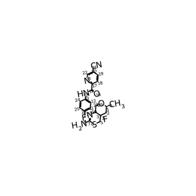 C[C@H]1C[C@@]2(F)CSC(N)=N[C@@]2(c2cc(NC(=O)c3ccc(C#N)cn3)ccc2F)CO1